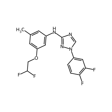 Cc1cc(Nc2ncn(-c3ccc(F)c(F)c3)n2)cc(OCC(F)F)c1